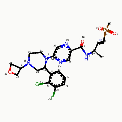 C[C@H](/C=C/S(C)(=O)=O)NC(=O)c1cnc(N2CCN(C3COC3)CC2c2cccc(F)c2Cl)cn1